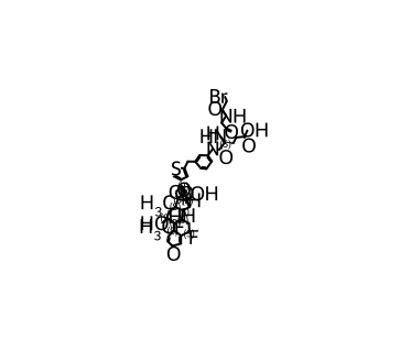 C[C@]12C=CC(=O)C=C1[C@@H](F)C[C@H]1[C@@H]3C[C@H]4O[C@@H](c5csc(Cc6cccc(NC(=O)[C@H](CCC(=O)O)NC(=O)CNC(=O)CBr)c6)c5)O[C@@]4(C(=O)CO)[C@@]3(C)C[C@H](O)[C@@]12F